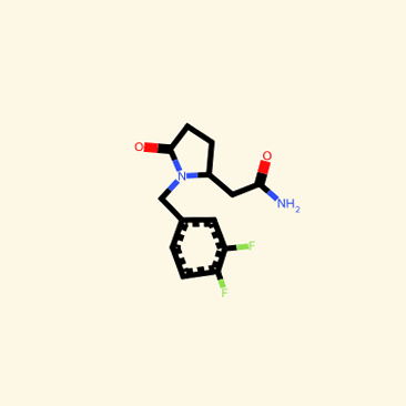 NC(=O)CC1CCC(=O)N1Cc1ccc(F)c(F)c1